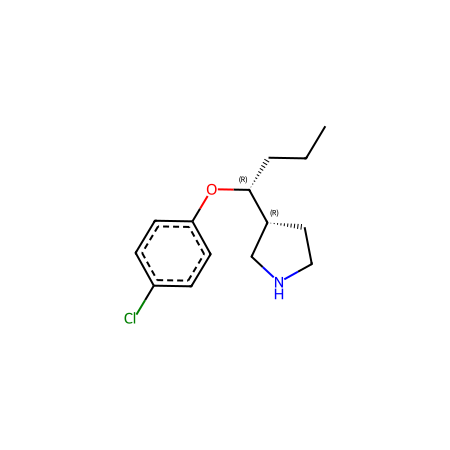 CCC[C@@H](Oc1ccc(Cl)cc1)[C@@H]1CCNC1